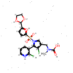 CN(Cc1cn(S(=O)(=O)c2ccc(C3OCCO3)o2)c(-c2cccnc2F)c1F)C(=O)O